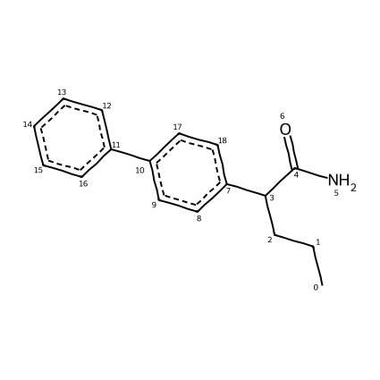 CCCC(C(N)=O)c1ccc(-c2ccccc2)cc1